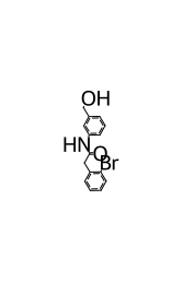 O=C(Cc1ccccc1Br)Nc1cccc(CO)c1